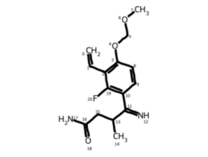 C=Cc1c(OCOC)ccc(C(=N)C(C)CC(N)=O)c1F